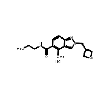 COCCNC(=O)c1ccc2nn(CC3CNC3)cc2c1OC.Cl